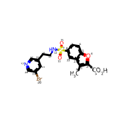 Cc1c(C(=O)O)oc2ccc(S(=O)(=O)NCCc3cncc(Br)c3)cc12